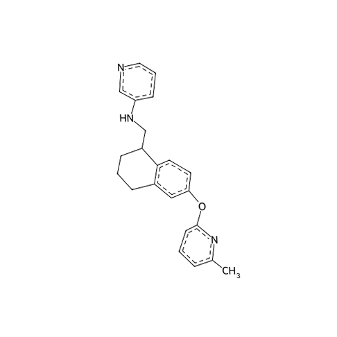 Cc1cccc(Oc2ccc3c(c2)CCCC3CNc2cccnc2)n1